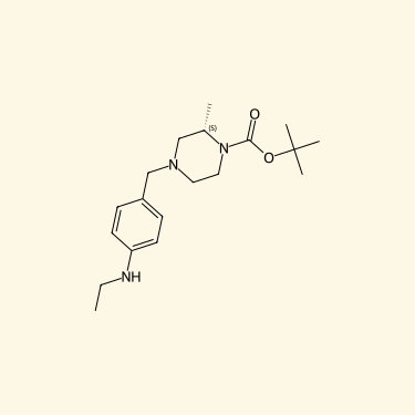 CCNc1ccc(CN2CCN(C(=O)OC(C)(C)C)[C@@H](C)C2)cc1